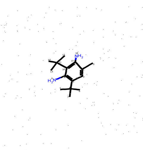 Cc1cc(C(C)(C)C)c(N)c(C(C)(C)C)c1N